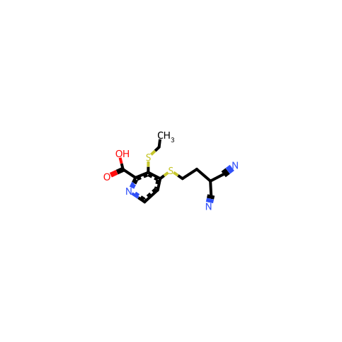 CCSc1c(SCCC(C#N)C#N)ccnc1C(=O)O